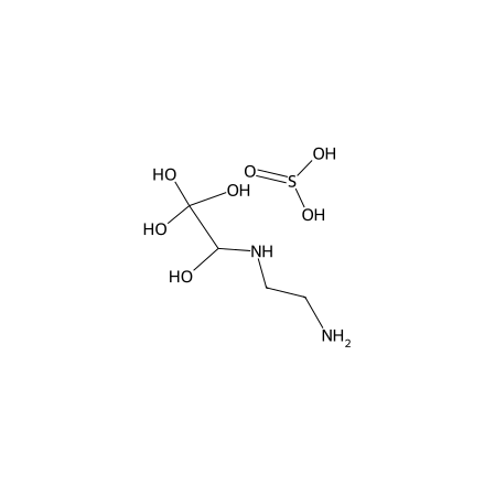 NCCNC(O)C(O)(O)O.O=S(O)O